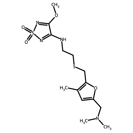 COC1=NS(=O)(=O)N=C1NCCSCc1oc(CN(C)C)cc1C